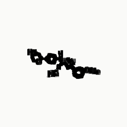 COc1cccc(-c2cc(C(=O)Nc3ccc([C@@H]4CNCCO4)cc3)[nH]n2)c1.Cl